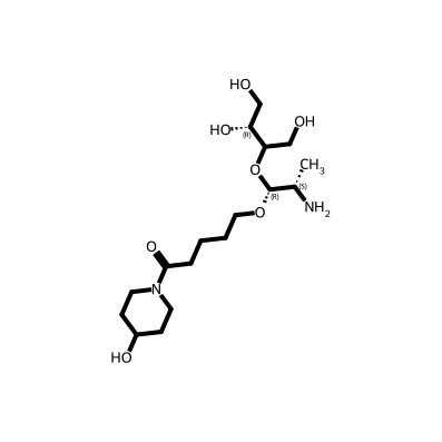 C[C@H](N)[C@H](OCCCCC(=O)N1CCC(O)CC1)OC(CO)[C@H](O)CO